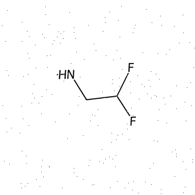 [NH]CC(F)F